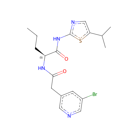 CCC[C@H](NC(=O)Cc1cncc(Br)c1)C(=O)Nc1ncc(C(C)C)s1